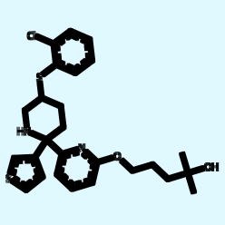 CC(C)(O)CCCOc1cccc(C2(c3ccsc3)CCC(Sc3ccccc3Cl)CN2)n1